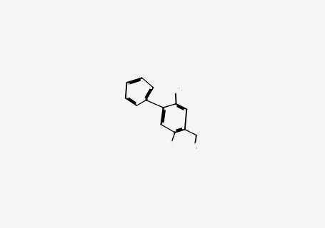 N#Cc1cc(CBr)c(Br)cc1-c1ccccc1